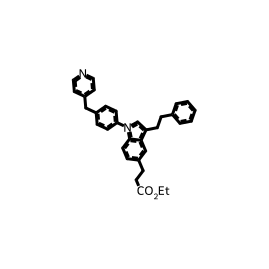 CCOC(=O)CCc1ccc2c(c1)c(CCc1ccccc1)cn2-c1ccc(Cc2ccncc2)cc1